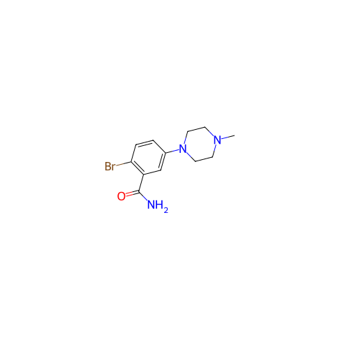 CN1CCN(c2ccc(Br)c(C(N)=O)c2)CC1